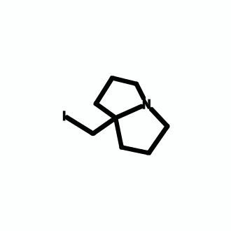 ICC12CCCN1CCC2